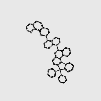 c1ccc(C2(c3ccccc3)c3ccccc3-c3c2ccc2cc(-c4cccc5c(-c6ccc7ccc8cccnc8c7n6)cccc45)c4ccccc4c32)cc1